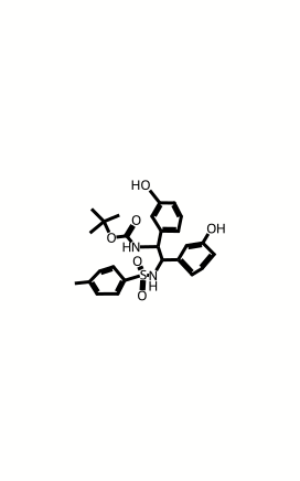 Cc1ccc(S(=O)(=O)NC(c2cccc(O)c2)C(NC(=O)OC(C)(C)C)c2cccc(O)c2)cc1